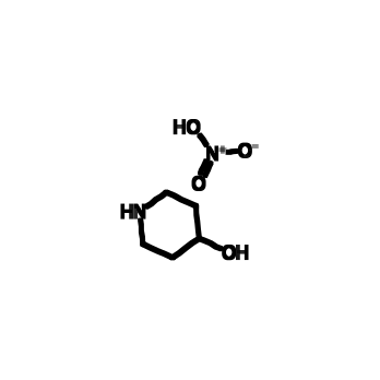 O=[N+]([O-])O.OC1CCNCC1